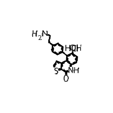 Cl.NCCc1ccc(-c2c(O)ccc3[nH]c(=O)c4sccc4c23)cc1